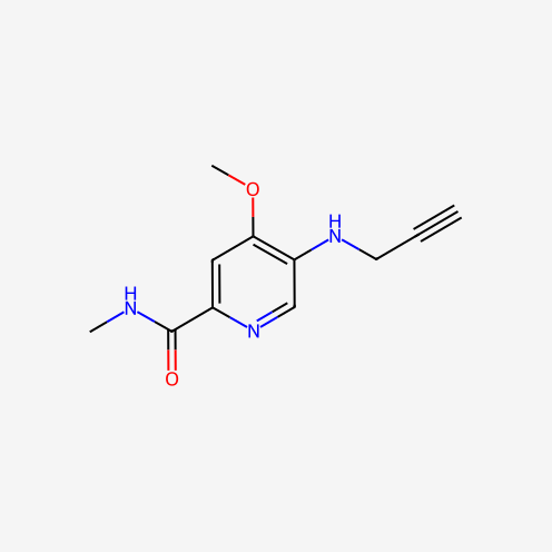 C#CCNc1cnc(C(=O)NC)cc1OC